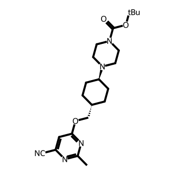 Cc1nc(C#N)cc(OC[C@H]2CC[C@H](N3CCN(C(=O)OC(C)(C)C)CC3)CC2)n1